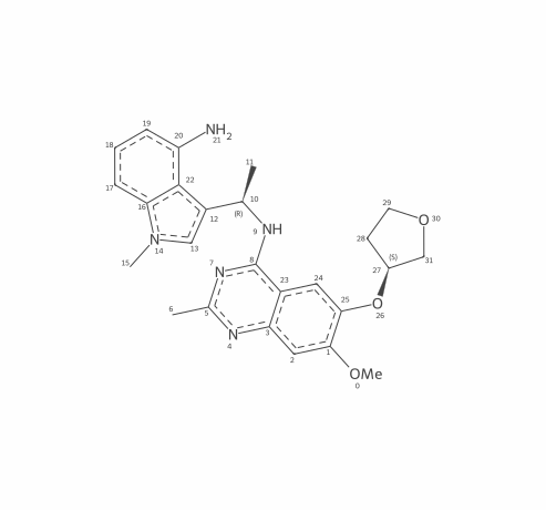 COc1cc2nc(C)nc(N[C@H](C)c3cn(C)c4cccc(N)c34)c2cc1O[C@H]1CCOC1